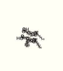 CCCCCCCC(=O)N(C)Cc1ccc(C)c(-c2ccc(CCC(=O)O)cc2)c1.CCCCCCCC(=O)N(C)Cc1cccc(-c2ccc(/C=C/C(=O)O)cc2OCc2ccccc2)c1